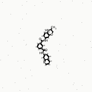 CC1COc2cc(NC(=O)c3cccc(C(=O)Nc4ccc5cccnc5c4)c3)ccc2N1